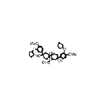 COc1ccc(C2(C#N)CCC(O)(C3(OC=O)CCC(C#N)(c4ccc(OC)c(OC5CCCC5)c4)CC3)CC2)cc1OC1CCCC1